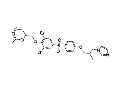 CC(=O)OC(CCl)COc1c(Cl)cc(S(=O)(=O)c2ccc(OCC(C)Cn3ccnc3)cc2)cc1Cl